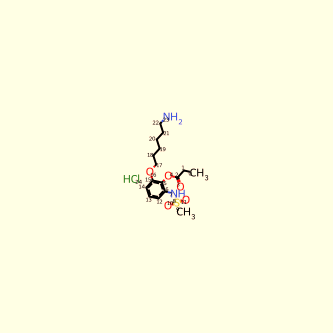 CCC(=O)Oc1c(NS(C)(=O)=O)cccc1OCCCCCCN.Cl